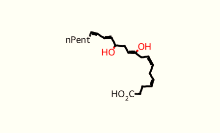 CCCCC/C=C\C=C\C(O)CC=C(O)C/C=C\C/C=C\CCC(=O)O